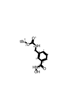 CC(C)(C)OC(=O)NCc1cccc(C(=O)NO)c1